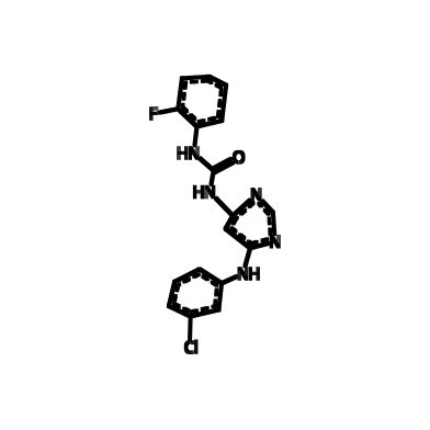 O=C(Nc1cc(Nc2cccc(Cl)c2)ncn1)Nc1ccccc1F